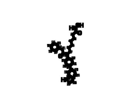 O=C(CCCCCCN(C(=O)Cc1ccccc1)c1ccc(-c2ccc3cc[nH]c3c2)cc1)NO